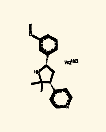 COc1cccc([C@@H]2C[C@H](c3ccncc3)C(C)(C)N2)c1.Cl.Cl